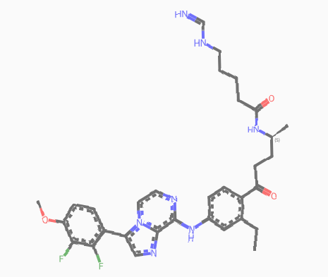 CCc1cc(Nc2nccn3c(-c4ccc(OC)c(F)c4F)cnc23)ccc1C(=O)CC[C@H](C)NC(=O)CCCCNC=N